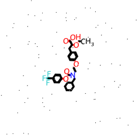 CCOC(Cc1ccc(OCCN(CC2CCCCC2)C(=O)Oc2ccc(C(F)(F)F)cc2)cc1)C(=O)O